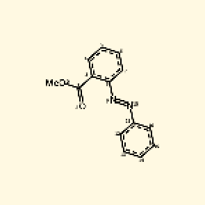 COC(=O)c1ccccc1N=Nc1ccccc1